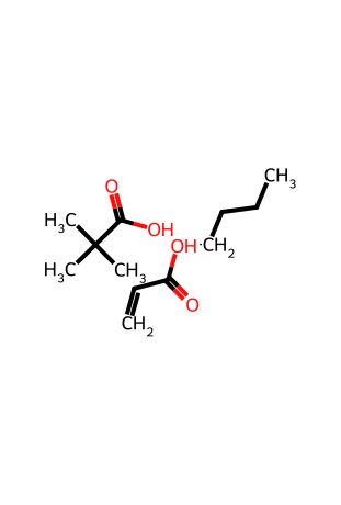 C=CC(=O)O.CC(C)(C)C(=O)O.[CH2]CCC